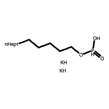 CCCCCCCCCCCCO[PH](=O)O.[KH].[KH]